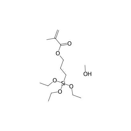 C=C(C)C(=O)OCCC[Si](OCC)(OCC)OCC.CO